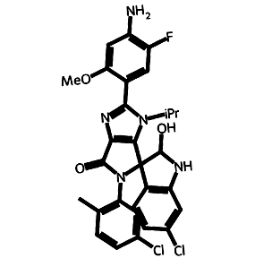 COc1cc(N)c(F)cc1-c1nc2c(n1C(C)C)C1(c3ccc(Cl)cc3NC1O)N(c1cc(Cl)ccc1C)C2=O